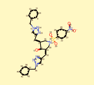 O=C1C(=Cc2cn(Cc3ccccc3)nn2)CN(S(=O)(=O)c2ccc([N+](=O)[O-])cc2)CC1=Cc1cn(Cc2ccccc2)nn1